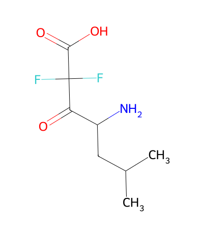 CC(C)CC(N)C(=O)C(F)(F)C(=O)O